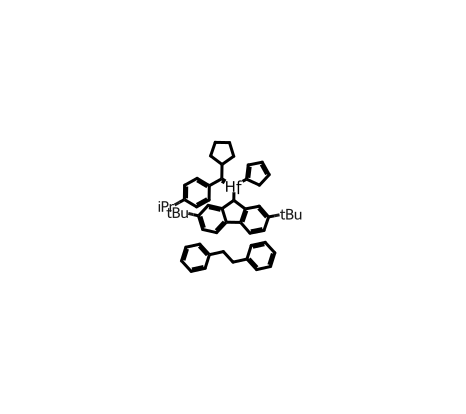 CC(C)c1ccc(/[C](C2CCCC2)=[Hf](/[C]2=CC=CC2)[CH]2c3cc(C(C)(C)C)ccc3-c3ccc(C(C)(C)C)cc32)cc1.c1ccc(CCc2ccccc2)cc1